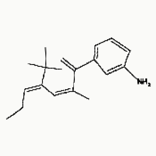 C=C(/C(C)=C\C(=C/CC)C(C)(C)C)c1cccc(N)c1